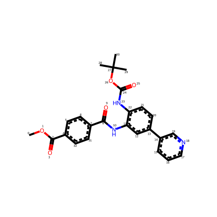 COC(=O)c1ccc(C(=O)Nc2cc(-c3cccnc3)ccc2NC(=O)OC(C)(C)C)cc1